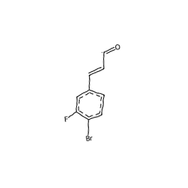 O=[C]C=Cc1ccc(Br)c(F)c1